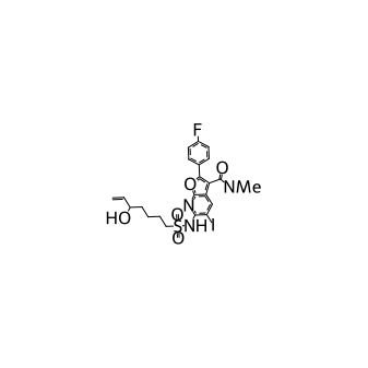 C=CC(O)CCCCS(=O)(=O)Nc1nc2oc(-c3ccc(F)cc3)c(C(=O)NC)c2cc1I